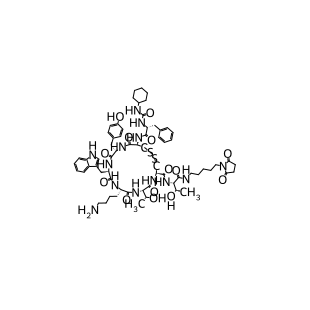 C[C@@H](O)[C@H](NC(=O)[C@@H]1CSSC[C@H](NC(=O)[C@@H](Cc2ccccc2)NC(=O)NC2CCCCC2)C(=O)N[C@@H](Cc2ccc(O)cc2)C(=O)N[C@H](Cc2c[nH]c3ccccc23)C(=O)N[C@@H](CCCCN)C(=O)N[C@@H]([C@@H](C)O)C(=O)N1)C(=O)NCCCCCN1C(=O)CCC1=O